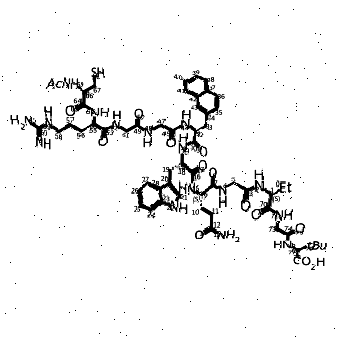 CC[C@H](NC(=O)CNC(=O)[C@H](CCC(N)=O)NC(=O)[C@H](Cc1c[nH]c2ccccc12)NC(=O)[C@H](Cc1ccc2ccccc2c1)NC(=O)CNC(=O)CNC(=O)[C@@H](CCCNC(=N)N)NC(=O)[C@H](CS)NC(C)=O)C(=O)NCC(=O)N[C@H](C(=O)O)C(C)(C)C